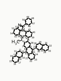 CCN1c2c(-c3ccc4c(-c5ccc6ccccc6c5)c5ccccc5c(-c5ccc6ccccc6c5)c4c3)cccc2-n2c(-c3ccccc3)nc3cccc1c32